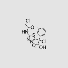 O=C(CCl)Nc1nnc(C(Cl)(C(=O)O)c2ccccc2)s1